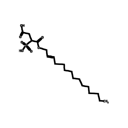 CCCCCCCCCCCCC=CCOC(=O)C(CC(=O)O)S(=O)(=O)O